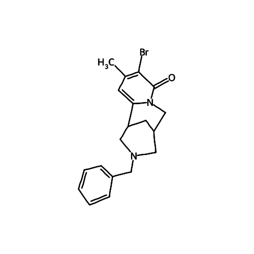 Cc1cc2n(c(=O)c1Br)CC1CC2CN(Cc2ccccc2)C1